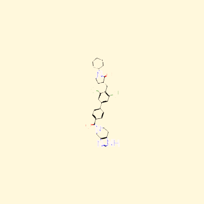 O=C(c1ccc(-c2cc(Cl)c(CC3CCN(C4CCCCC4)C3=O)c(Cl)c2)cc1)N1CCc2[nH]cnc2C1